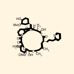 CO[C@H]1C[C@@H](C)[C@@]2(O)O[C@@H]1[C@@H](O)C[C@@H](C)C/C(C)=C/[C@@H](CCCc1ccccn1)C(=O)C[C@H](O)[C@@H](C)[C@@H]1OC(=O)[C@@H]3C(CCCN3C(=O)C2=O)/C1=C\[C@@H]1CC[C@@H](O)[C@H](OC)C1